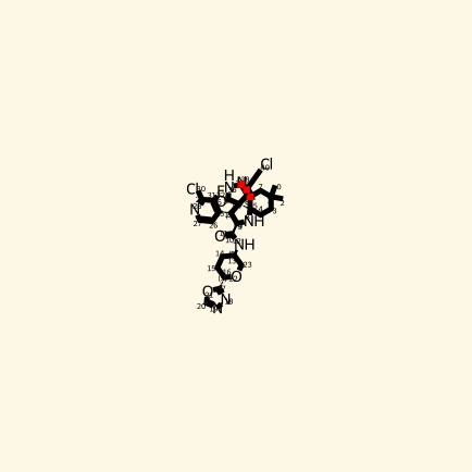 CC1(C)CCC2(CC1)N[C@@H](C(=O)N[C@@H]1CC[C@@H](c3nnco3)OC1)[C@H](c1ccnc(Cl)c1F)[C@]21C(=O)Nc2nc(Cl)ccc21